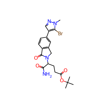 Cn1ncc(-c2ccc3c(c2)CN(C(CCC(=O)OC(C)(C)C)C(N)=O)C3=O)c1Br